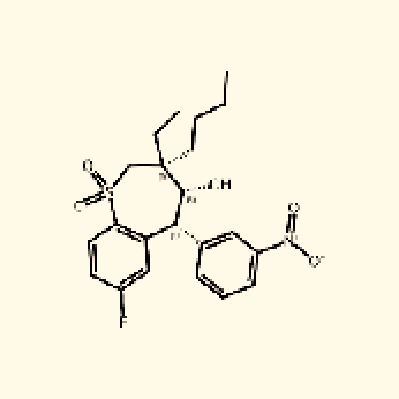 CCCC[C@@]1(CC)CS(=O)(=O)c2ccc(F)cc2[C@@H](c2cccc([N+](=O)[O-])c2)[C@H]1O